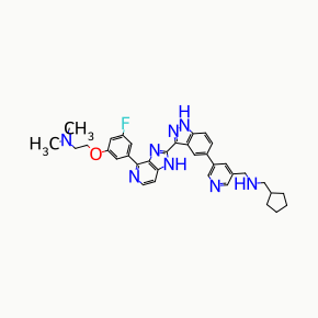 CN(C)CCOc1cc(F)cc(-c2nccc3[nH]c(-c4n[nH]c5ccc(-c6cncc(CNCC7CCCC7)c6)cc45)nc23)c1